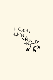 CC(C)C(N)N1CCN(c2nc3c(Br)c(Br)c(Br)c(Br)c3[nH]2)CC1